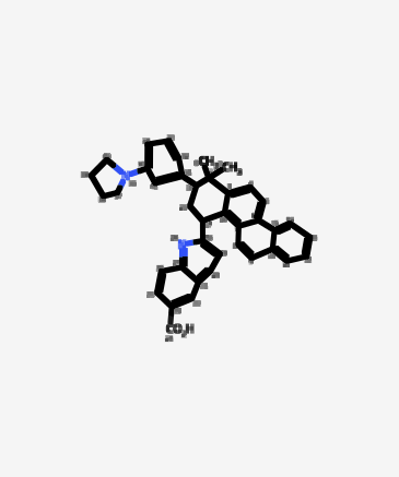 CC1(C)c2ccc3c(ccc4ccccc43)c2C(c2ccc3cc(C(=O)O)ccc3n2)CC1c1cccc(N2CCCC2)c1